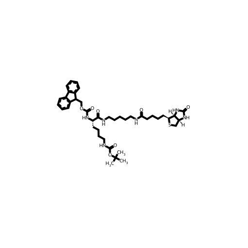 CC(C)(C)OC(=O)NCCCC[C@H](NC(=O)OCC1c2ccccc2-c2ccccc21)C(=O)NCCCCCNC(=O)CCCC[C@@H]1SC[C@@H]2NC(=O)N[C@@H]21